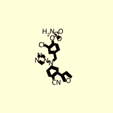 N#Cc1ccc(N(Cc2ccc(OS(N)(=O)=O)c(Cl)c2)n2cnnc2)cc1-c1ccoc1